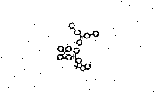 CC1(C)c2cc(N(c3ccc(-c4ccc(N(c5ccc(-c6ccccc6)cc5)c5ccc(-c6ccccc6)cc5)cc4)cc3)c3ccc4c(c3)C(c3ccccc3)(c3ccccc3)c3ccccc3-4)ccc2-c2c1ccc1ccccc21